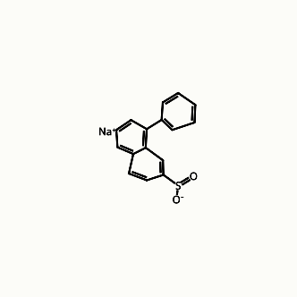 O=S([O-])c1ccc2cccc(-c3ccccc3)c2c1.[Na+]